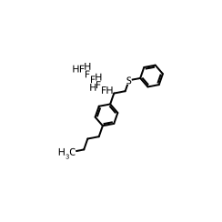 CCCCc1ccc(CCSc2ccccc2)cc1.F.F.F.F.F